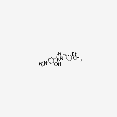 CC[C@@]1(C)CCC/C(=C\c2ncc(-c3ccc(-n4ccnc4)cc3O)nn2)C1